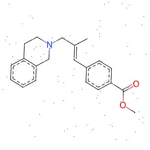 COC(=O)c1ccc(C=C(C)CN2CCc3ccccc3C2)cc1